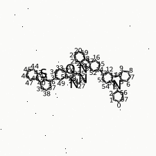 c1ccc(-n2c3ccccc3c3cc(-c4ccc5c6ccccc6n(-c6ncnc7c6oc6ccc(-c8cccc9c8sc8ccccc89)cc67)c5c4)ccc32)cc1